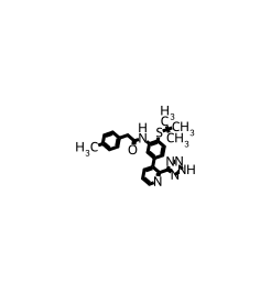 Cc1ccc(CC(=O)Nc2cc(-c3cccnc3-c3nn[nH]n3)ccc2SC(C)(C)C)cc1